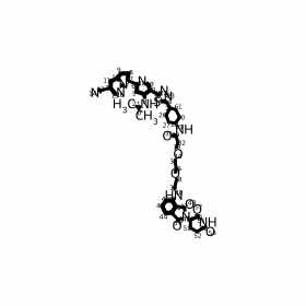 CC(C)Nc1cc(-c2ccc3cc(C#N)cnn23)ncc1-c1nnc(C2CCC(NC(=O)CCOCCOCCNc3cccc4c3C(=O)N(C3CCC(=O)NC3=O)C4=O)CC2)s1